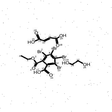 CCOC(=O)c1c(Br)c(Br)c(Br)c(Br)c1C(=O)O.O=C(O)C=CC(=O)O.OCCO